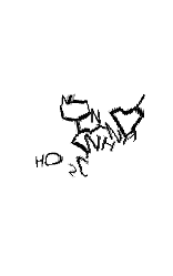 Cc1ccc(Nc2nc3cnccc3c3cc(C(=O)O)[nH]c23)cc1